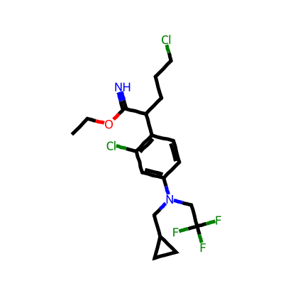 CCOC(=N)C(CCCCl)c1ccc(N(CC2CC2)CC(F)(F)F)cc1Cl